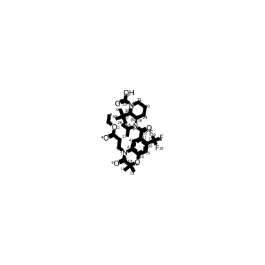 CCOC(=O)CCN1C(=O)C(C)(C)Oc2cc(C(F)(F)F)c(C(=O)N(C(C)C)[C@@H]3CCCN(C(=O)O)C3C(C)(C)C)cc21